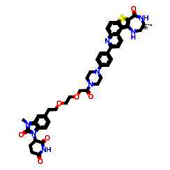 C[C@@H]1CNc2c(sc3ccc4nc(-c5ccc(N6CCN(C(=O)COCCOCCc7ccc8c(c7)n(C)c(=O)n8C7CCC(=O)NC7=O)CC6)cc5)ccc4c23)C(=O)N1